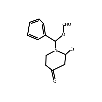 CCC1CC(=O)CCN1C(OC=O)c1ccccc1